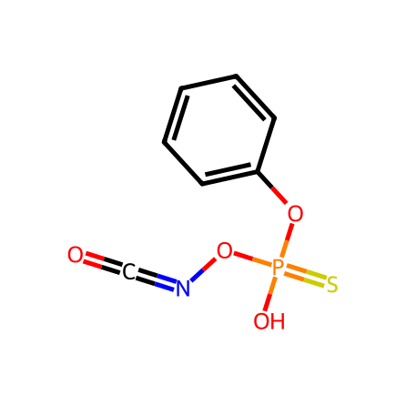 O=C=NOP(O)(=S)Oc1ccccc1